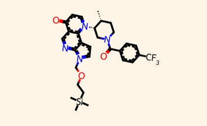 C[C@@H]1CCN(C(=O)c2ccc(C(F)(F)F)cc2)C[C@@H]1n1ccc(=O)c2cnc3c(ccn3COCC[Si](C)(C)C)c21